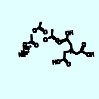 CC(=O)[O-].CC(=O)[O-].CC(=O)[O-].O=C(O)CN(CC(=O)O)CC(=O)O.[Na+].[Na+].[Na+]